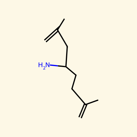 C=C(C)CCC(N)CC(=C)C